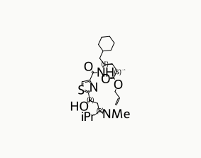 C=CCOC(=O)[C@@H](C)C[C@H](CC1CCCCC1)NC(=O)c1csc([C@H](O)C[C@@H](NC)C(C)C)n1